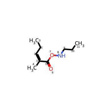 CCC=C(C)C(=O)ONCCC